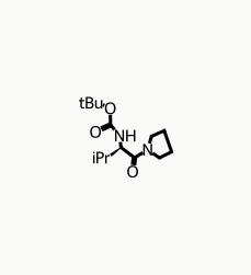 CC(C)[C@@H](NC(=O)OC(C)(C)C)C(=O)N1CCCC1